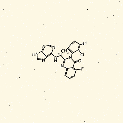 C[C@@H](Nc1ncnc2[nH]cnc12)c1nc2cccc(F)c2c(=O)n1-c1cccc(Cl)c1Cl